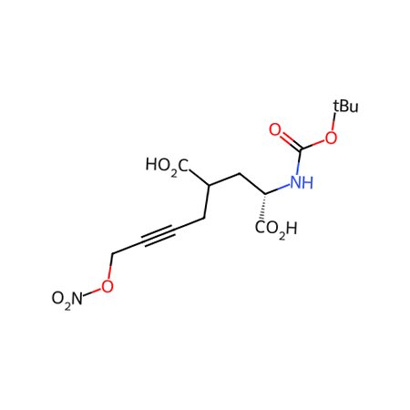 CC(C)(C)OC(=O)N[C@@H](CC(CC#CCO[N+](=O)[O-])C(=O)O)C(=O)O